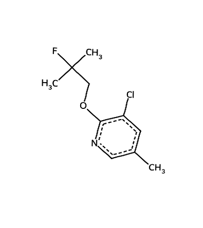 Cc1cnc(OCC(C)(C)F)c(Cl)c1